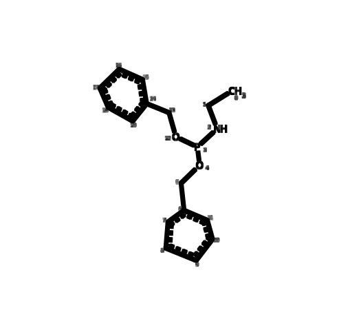 CCNP(OCc1ccccc1)OCc1ccccc1